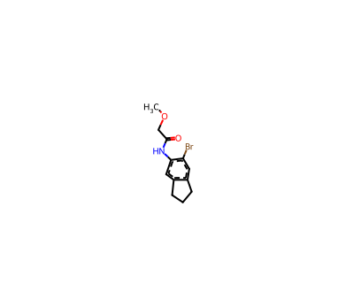 COCC(=O)Nc1cc2c(cc1Br)CCC2